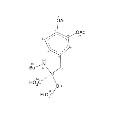 CCOC(=O)O[C@](Cc1ccc(OC(C)=O)c(OC(C)=O)c1)(NC(C)CC)C(=O)O